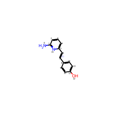 Nc1cccc(/C=C/c2ccc(O)cc2)n1